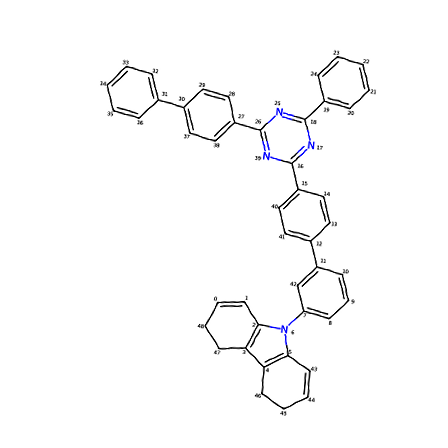 C1=Cc2c(c3c(n2-c2cccc(-c4ccc(-c5nc(-c6ccccc6)nc(-c6ccc(-c7ccccc7)cc6)n5)cc4)c2)C=CCC3)CC1